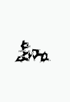 Cc1cc(Nc2nc(N3CCC(c4ccc(F)cc4)C3)nc3cccn23)[nH]n1